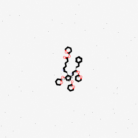 O=C(CCC/C=C\C[C@@H]1[C@@H](/C=C/[C@H](CCc2ccccc2)O[C@@H]2CCCCO2)[C@H](O[C@@H]2CCCCO2)C[C@H]1O[C@@H]1CCCCO1)O[C@@H]1CCCCO1